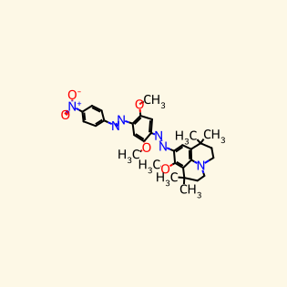 COc1cc(N=Nc2cc3c4c(c2OC)C(C)(C)CCN4CCC3(C)C)c(OC)cc1N=Nc1ccc([N+](=O)[O-])cc1